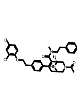 CC(=O)N1CC2CC(c3ccc(CCOc4ccc(Cl)cc4Cl)cc3)=C(C(=O)N(C)CCc3ccccc3)[C@@H](C1)N2